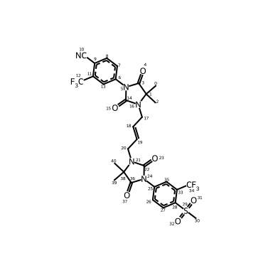 CC1(C)C(=O)N(c2ccc(C#N)c(C(F)(F)F)c2)C(=O)N1CC=CCN1C(=O)N(c2ccc(S(C)(=O)=O)c(C(F)(F)F)c2)C(=O)C1(C)C